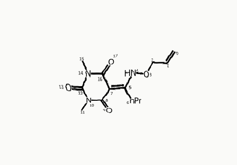 C=CCONC(CCC)=C1C(=O)N(C)C(=O)N(C)C1=O